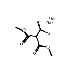 COC(=O)C(C(=O)OC)C([S-])[S-].[Na+].[Na+]